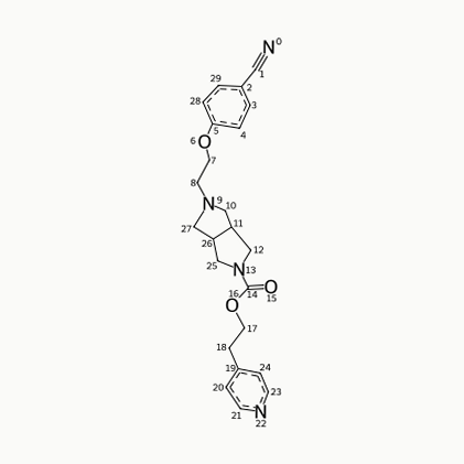 N#Cc1ccc(OCCN2CC3CN(C(=O)OCCc4ccncc4)CC3C2)cc1